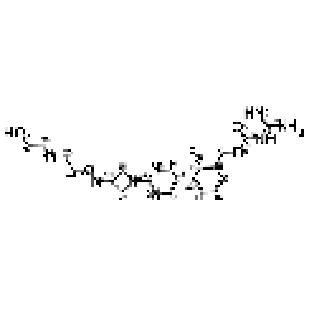 N=C(N)NC(=O)OCc1cccc(-c2cnc(N3CC(=NOCCOCCO)C3)nc2)c1F